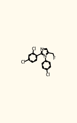 FCc1cnc(-c2ccc(Cl)cc2Cl)n1-c1ccc(Cl)cc1